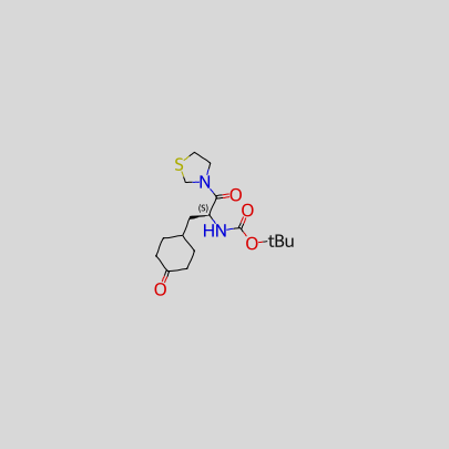 CC(C)(C)OC(=O)N[C@@H](CC1CCC(=O)CC1)C(=O)N1CCSC1